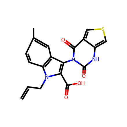 C=CCn1c(C(=O)O)c(-n2c(=O)[nH]c3cscc3c2=O)c2cc(C)ccc21